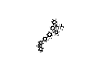 CC1(C)c2ccccc2-c2ccc3c(c21)c1ccccc1n3-c1ccc(-c2ccc(-c3ccc4oc5ccccc5c4c3)cc2)cc1